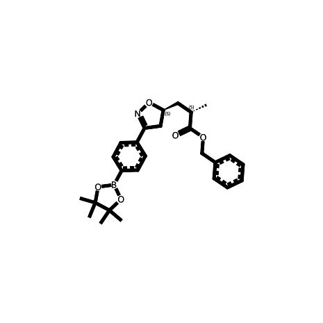 C[C@@H](C[C@H]1CC(c2ccc(B3OC(C)(C)C(C)(C)O3)cc2)=NO1)C(=O)OCc1ccccc1